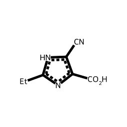 CCc1nc(C(=O)O)c(C#N)[nH]1